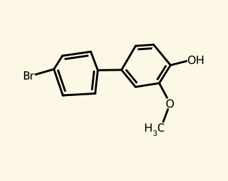 COc1cc(-c2ccc(Br)cc2)ccc1O